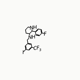 Fc1ccc(C2NCCCC2NCc2cc(I)cc(C(F)(F)F)c2)cc1